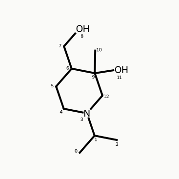 CC(C)N1CCC(CO)C(C)(O)C1